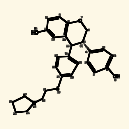 Oc1ccc([C@H]2COc3ccc(O)cc3C2c2ccc(SCCN3CCCC3)cc2)cc1